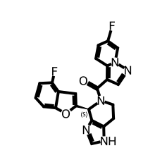 O=C(c1cnn2cc(F)ccc12)N1CCc2[nH]cnc2[C@H]1c1cc2c(F)cccc2o1